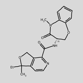 CCC1(C)OCc2c1ccnc2C(=O)N[C@H]1COc2ccccc2N(C)C1=O